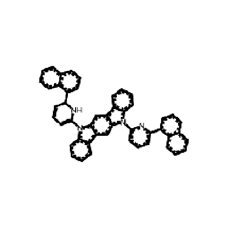 C1=CC(c2cccc3ccccc23)NC(n2c3ccccc3c3cc4c(cc32)c2ccccc2n4-c2cccc(-c3cccc4ccccc34)n2)=C1